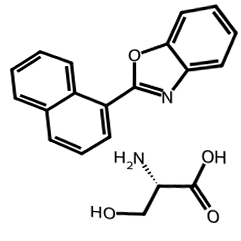 N[C@@H](CO)C(=O)O.c1ccc2c(-c3nc4ccccc4o3)cccc2c1